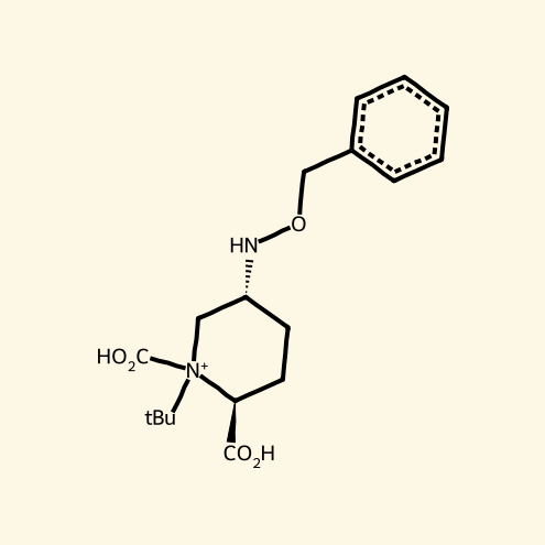 CC(C)(C)[N+]1(C(=O)O)C[C@H](NOCc2ccccc2)CC[C@H]1C(=O)O